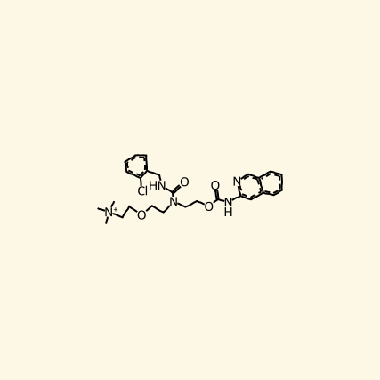 C[N+](C)(C)CCOCCN(CCOC(=O)Nc1cc2ccccc2cn1)C(=O)NCc1ccccc1Cl